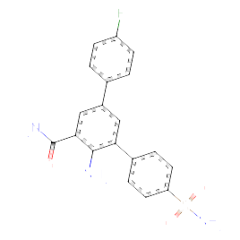 NC(=O)c1cc(-c2ccc(F)cc2)cc(-c2ccc(S(N)(=O)=O)cc2)c1N